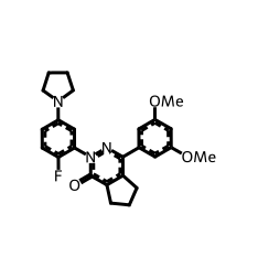 COc1cc(OC)cc(-c2nn(-c3cc(N4CCCC4)ccc3F)c(=O)c3c2CCC3)c1